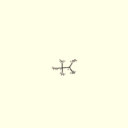 [2H]C([2H])([2H])C(Br)CCC